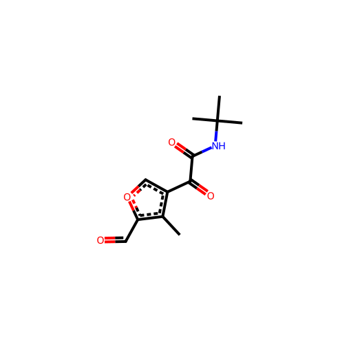 Cc1c(C(=O)C(=O)NC(C)(C)C)coc1C=O